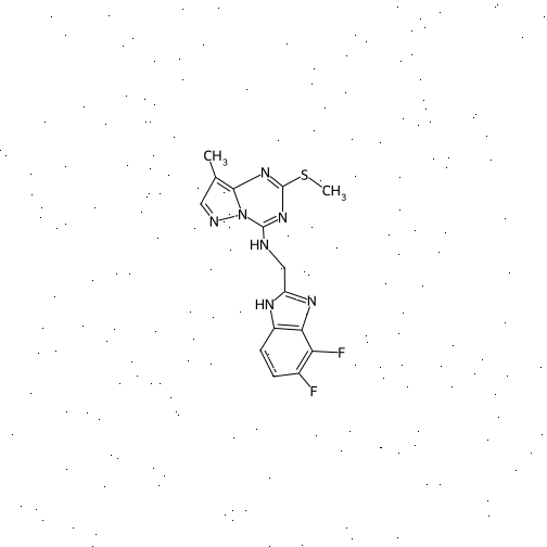 CSc1nc(NCc2nc3c(F)c(F)ccc3[nH]2)n2ncc(C)c2n1